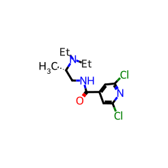 CCN(CC)[C@@H](C)CNC(=O)c1cc(Cl)nc(Cl)c1